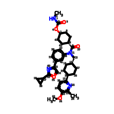 CNC(=O)O[C@H]1CC[C@H](C(=O)N(C[C@H]2CC[C@H](c3ccc(OC)c(C)n3)CC2)c2cccc(-c3coc(C4CC4)n3)c2)CC1